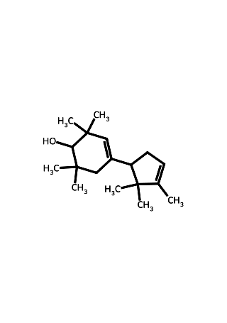 CC1=CCC(C2=CC(C)(C)C(O)C(C)(C)C2)C1(C)C